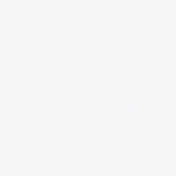 CCOC(=O)/C=C\CC(c1cc(C)cc(C)c1O)c1cc(C)cc(C)c1O